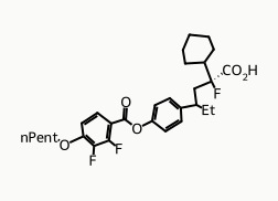 CCCCCOc1ccc(C(=O)Oc2ccc(C(CC)C[C@@](F)(C(=O)O)C3CCCCC3)cc2)c(F)c1F